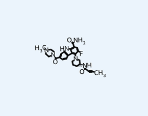 CC#CC(=O)N[C@H]1CCCN(c2c(F)cc(C(N)=O)c3[nH]c4cc(C(=O)N5CCN(C)CC5)ccc4c23)C1